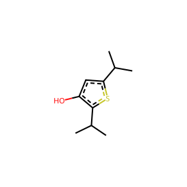 CC(C)c1cc(O)c(C(C)C)s1